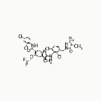 C=C(C)C(=O)NCc1ccc(Cl)c(Nc2nc3cc(C(=O)Nc4ccc(Cl)cc4Cl)c(OCC(F)F)cc3n2C)c1Cl